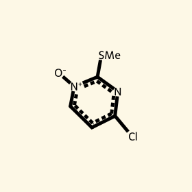 CSc1nc(Cl)cc[n+]1[O-]